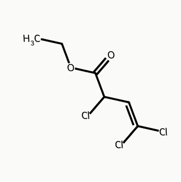 CCOC(=O)C(Cl)C=C(Cl)Cl